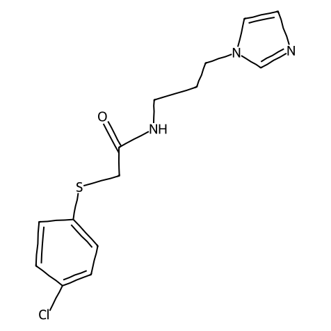 O=C(CSc1ccc(Cl)cc1)NCCCn1ccnc1